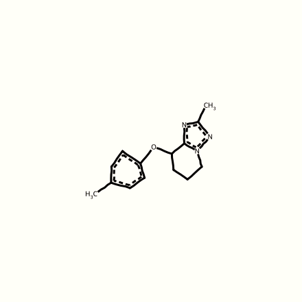 Cc1ccc(OC2CCCn3nc(C)nc32)cc1